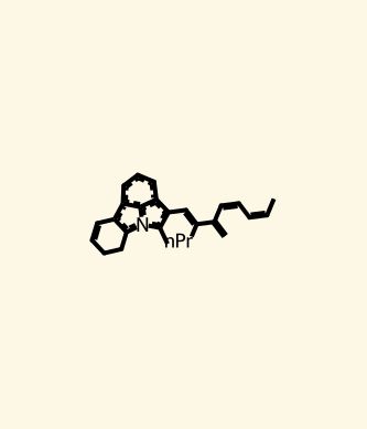 C=C(/C=C\C=C/C)/C(=C/c1c(C)n2c3c(c4cccc1c42)C=CCC3)CCC